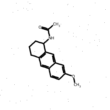 COc1ccc2cc3c(cc2c1)C(NC(C)=O)CCC3